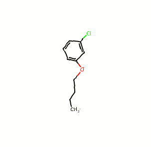 [CH2]CCCOc1cccc(Cl)c1